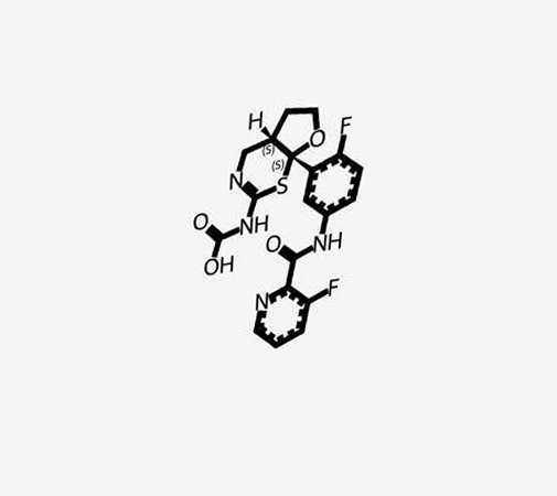 O=C(O)NC1=NC[C@@H]2CCO[C@]2(c2cc(NC(=O)c3ncccc3F)ccc2F)S1